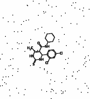 CC1=C(C(=O)NC2CCCCC2)C(c2ccc(Cl)cc2Cl)NC(=S)N1